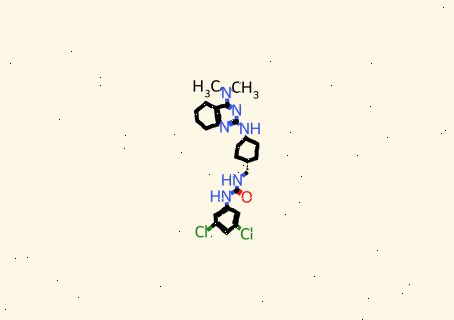 CN(C)c1nc(N[C@H]2CC[C@@H](CNC(=O)Nc3cc(Cl)cc(Cl)c3)CC2)nc2c1CCCC2